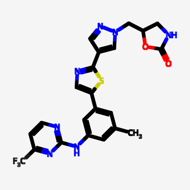 Cc1cc(Nc2nccc(C(F)(F)F)n2)cc(-c2cnc(-c3cnn(CC4CNC(=O)O4)c3)s2)c1